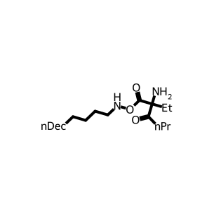 CCCCCCCCCCCCCCNOC(=O)C(N)(CC)C(=O)CCC